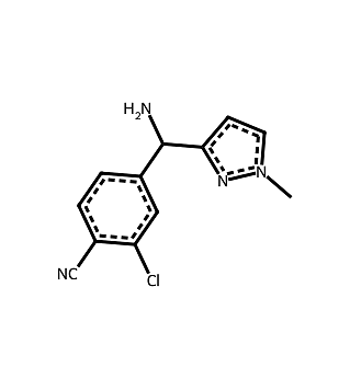 Cn1ccc(C(N)c2ccc(C#N)c(Cl)c2)n1